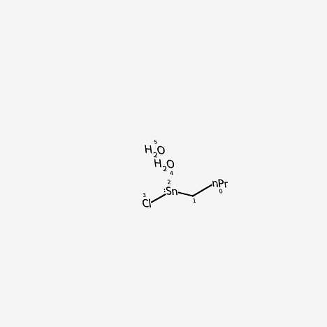 CCC[CH2][Sn][Cl].O.O